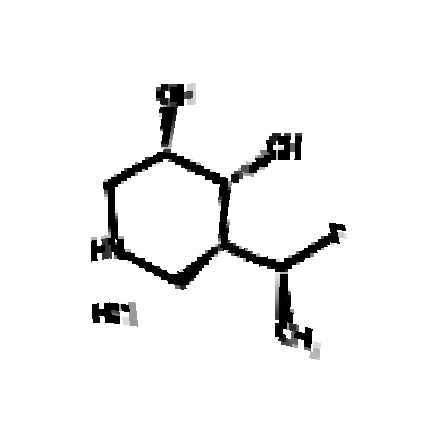 C[C@H](F)[C@H]1CNC[C@@H](O)[C@@H]1O.Cl